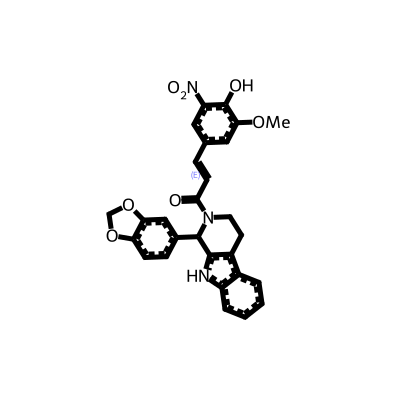 COc1cc(/C=C/C(=O)N2CCc3c([nH]c4ccccc34)C2c2ccc3c(c2)OCO3)cc([N+](=O)[O-])c1O